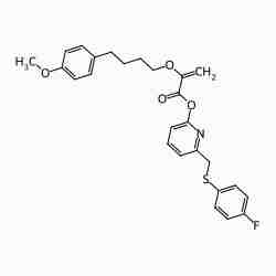 C=C(OCCCCc1ccc(OC)cc1)C(=O)Oc1cccc(CSc2ccc(F)cc2)n1